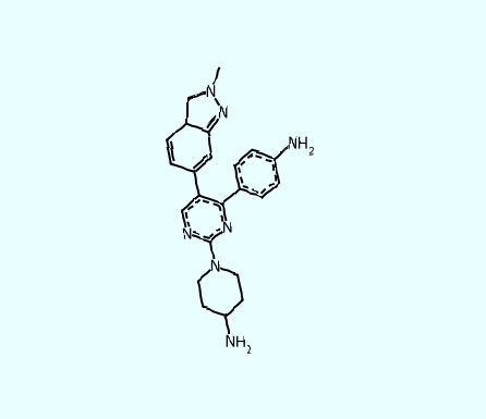 CN1CC2C=CC(c3cnc(N4CCC(N)CC4)nc3-c3ccc(N)cc3)=CC2=N1